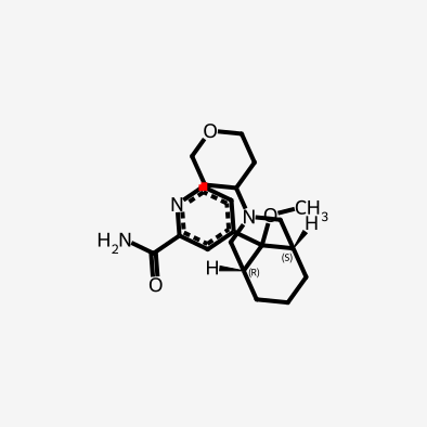 COC1(c2ccnc(C(N)=O)c2)[C@@H]2CCC[C@H]1CN(C1CCOCC1)C2